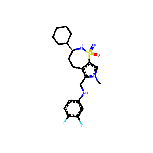 Cn1cc2c(c1CNc1ccc(F)c(F)c1)CC[C@@H](C1CCCCC1)NS2(=N)=O